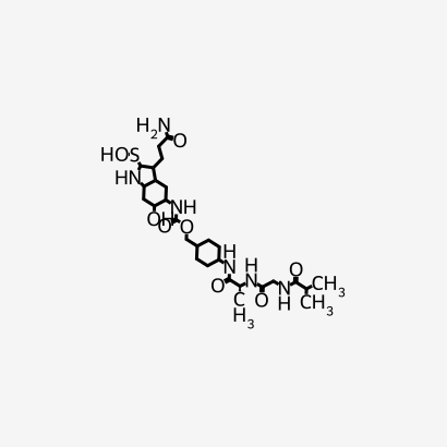 CC(C)C(=O)NCC(=O)N[C@@H](C)C(=O)NC1CCC(COC(=O)NC2CC3C(CC2O)NC(SO)C3CCC(N)=O)CC1